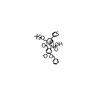 COc1cc(C(=O)N2CC=C(c3ccsc3)CC2CO[Si](C)(C)C(C)(C)C)c(NC(=O)O)cc1OCc1ccccc1